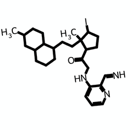 CC1CCC2C(CCC3(C)C(I)CCC3C(=O)CNc3cccnc3C=N)CCCC2C1